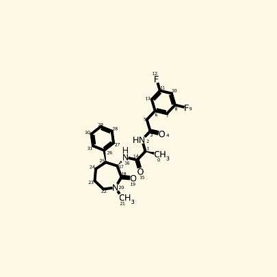 C[C@H](NC(=O)Cc1cc(F)cc(F)c1)C(=O)N[C@@H]1C(=O)N(C)CCC[C@H]1c1ccccc1